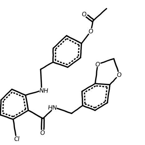 CC(=O)Oc1ccc(CNc2cccc(Cl)c2C(=O)NCc2ccc3c(c2)OCO3)cc1